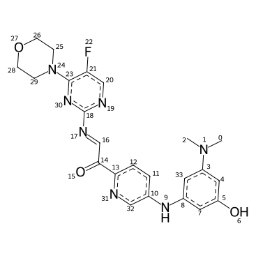 CN(C)c1cc(O)cc(Nc2ccc(C(=O)/C=N/c3ncc(F)c(N4CCOCC4)n3)nc2)c1